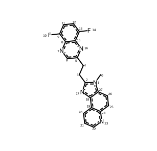 Cn1c(CCc2cnc3c(F)ccc(F)c3n2)nc2c3cccnc3ccc21